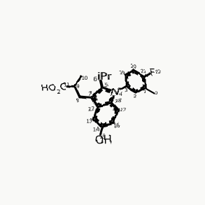 Cc1cc(-n2c(C(C)C)c(CC(C)C(=O)O)c3cc(O)ccc32)ccc1F